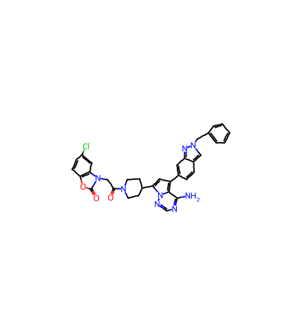 Nc1ncnn2c(C3CCN(C(=O)Cn4c(=O)oc5ccc(Cl)cc54)CC3)cc(-c3ccc4cn(Cc5ccccc5)nc4c3)c12